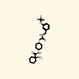 NC1(C(=O)N[C@H]2CC[C@@H](CC(=O)NCc3cccc(OC(F)(F)F)c3)CC2)CCCCC1